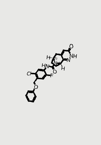 O=C(Nc1cc(Cl)c(COc2ccccc2)cc1F)N1[C@H]2CC[C@@H]1c1n[nH]c(=O)cc1C2